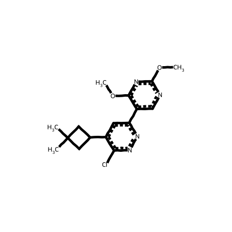 COc1ncc(-c2cc(C3CC(C)(C)C3)c(Cl)nn2)c(OC)n1